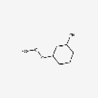 CC1CCCC(OOO)C1